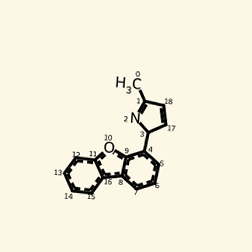 CC1=NC(c2cccc3c2oc2ccccc23)C=C1